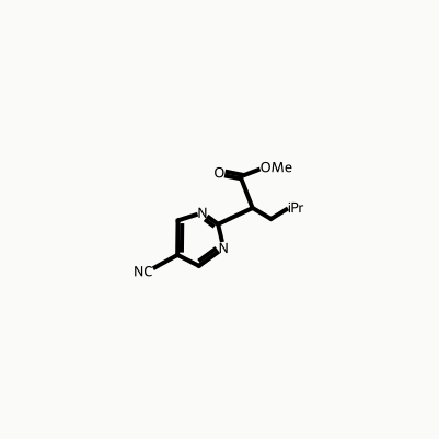 COC(=O)C(CC(C)C)c1ncc(C#N)cn1